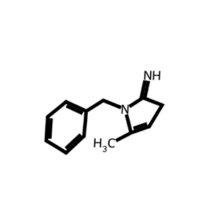 CC1=CCC(=N)N1Cc1ccccc1